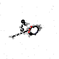 CNN(C)Cc1cc2ccccc2n1CCC(=O)N1CCC(N(CCOCCOCCC(=O)O)C(=O)CCC(=O)N(C)[C@@H](C)C(=O)O[C@H]2CC(=O)N(C)c3cc(cc(OC)c3Cl)C/C(C)=C/C=C/[C@@H](OC)[C@@]3(O)C[C@H](OC(=O)N3)C3(C)C[C@@]2(C)O3)CC1